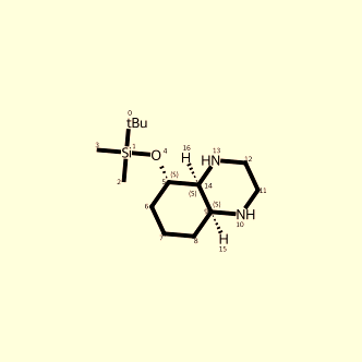 CC(C)(C)[Si](C)(C)O[C@H]1CCC[C@@H]2NCCN[C@@H]21